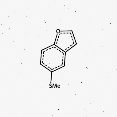 CSc1ccc2occc2c1